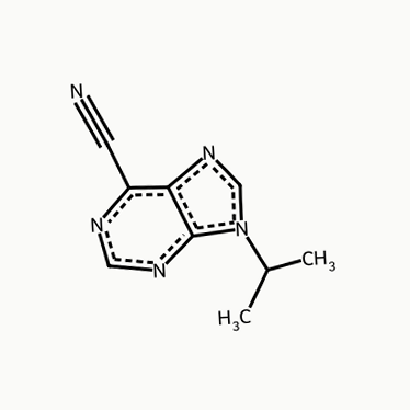 CC(C)n1cnc2c(C#N)ncnc21